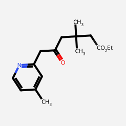 CCOC(=O)CC(C)(C)CC(=O)Cc1cc(C)ccn1